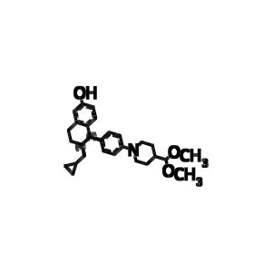 COC(OC)C1CCN(c2ccc([C@@H]3c4ccc(O)cc4CC[C@@H]3CC3CC3)cc2)CC1